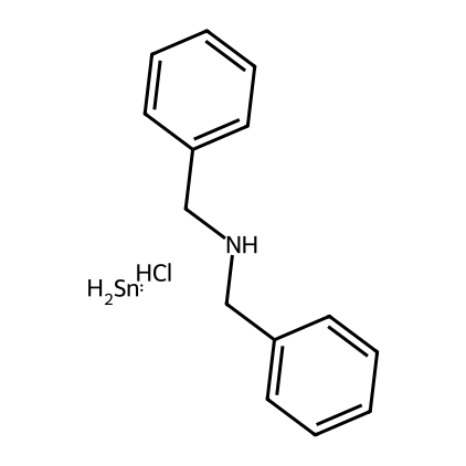 Cl.[SnH2].c1ccc(CNCc2ccccc2)cc1